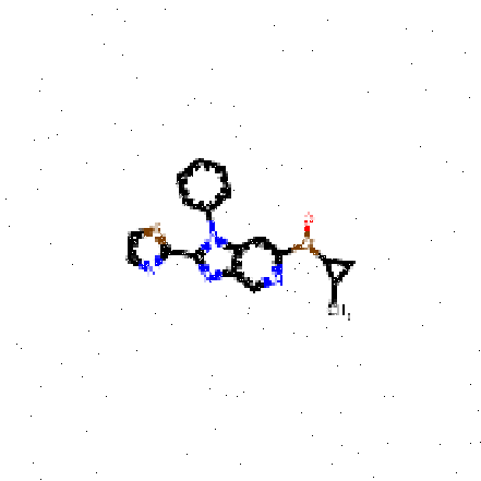 CC1CC1[S+]([O-])c1cc2c(cn1)nc(-c1nccs1)n2-c1ccccc1